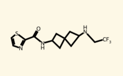 O=C(NC1CC2(CC(NCC(F)(F)F)C2)C1)c1nccs1